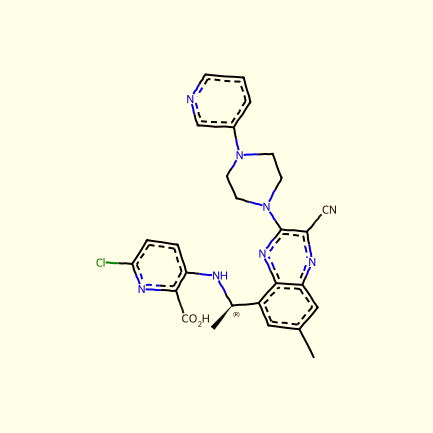 Cc1cc([C@@H](C)Nc2ccc(Cl)nc2C(=O)O)c2nc(N3CCN(c4cccnc4)CC3)c(C#N)nc2c1